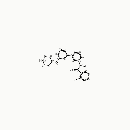 O=C1c2c(Cl)cccc2CN1c1cccc(-c2cncc(OC3CCNCC3)c2)c1